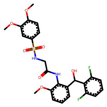 COc1ccc(S(=O)(=O)NCC(=O)Nc2c(OC)cccc2C(O)c2c(F)cccc2F)cc1OC